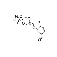 CC1(C)CO[C@@H](COc2cc(C=O)ccc2F)CO1